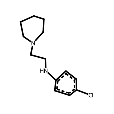 Clc1ccc(NCCN2CCCCC2)cc1